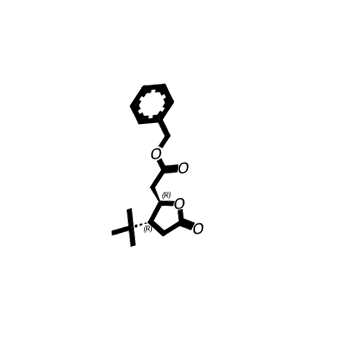 CC(C)(C)[C@H]1CC(=O)O[C@@H]1CC(=O)OCc1ccccc1